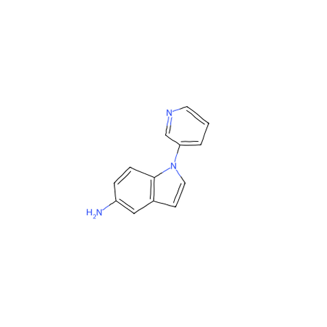 Nc1ccc2c(ccn2-c2cccnc2)c1